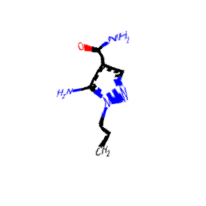 C=CCn1ncc(C(N)=O)c1N